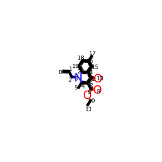 C=CCn1c(C)c(C(=O)OCC)c(=O)c2cc(C)ccc21